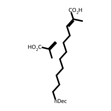 C=C(C)C(=O)O.CCCCCCCCCCCCCCCCCC/C=C(\C)C(=O)O